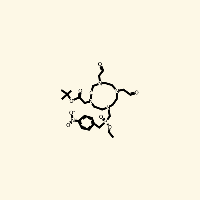 CCOP(=O)(Cc1ccc([N+](=O)[O-])cc1)CN1CCN(CC=O)CCN(CC=O)CCN(CC(=O)OC(C)(C)C)CC1